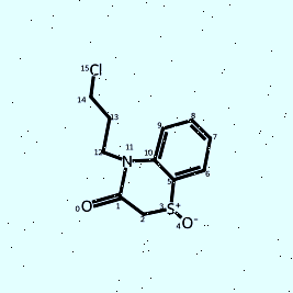 O=C1C[S+]([O-])c2ccccc2N1CCCCl